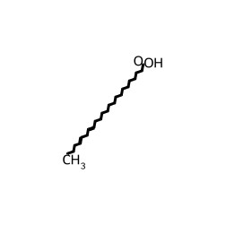 CCCCC=CCC=CCCCCCCCCCCCCCCC(=O)O